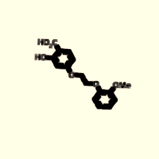 COc1ccccc1OCCOc1ccc(C(=O)O)c(O)c1